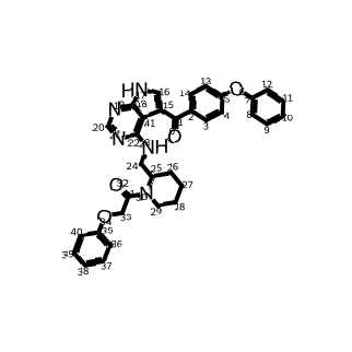 O=C(c1ccc(Oc2ccccc2)cc1)c1c[nH]c2ncnc(NCC3CCCCN3C(=O)COc3ccccc3)c12